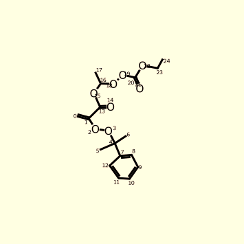 C=C(OOC(C)(C)c1ccccc1)C(=O)OC(C)OOC(=O)OCC